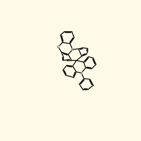 c1ccc(N2c3ccccc3C3(c4ccccc42)c2ccccc2N2c4ccccc4Oc4cccc3c42)cc1